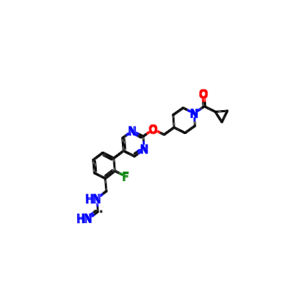 N=[C]NCc1cccc(-c2cnc(OCC3CCN(C(=O)C4CC4)CC3)nc2)c1F